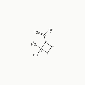 O=C(O)C1CCC1(O)O